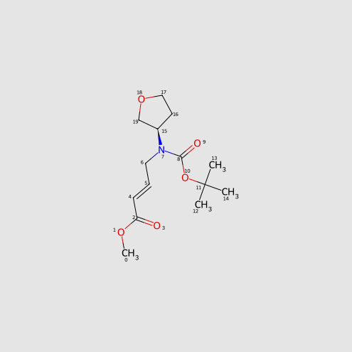 COC(=O)/C=C/CN(C(=O)OC(C)(C)C)[C@@H]1CCOC1